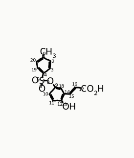 Cc1ccc(S(=O)(=O)Oc2ccc(O)c(C=CC(=O)O)c2)cc1